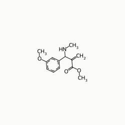 C=C(C(=O)OC)C(NC)c1cccc(OC)c1